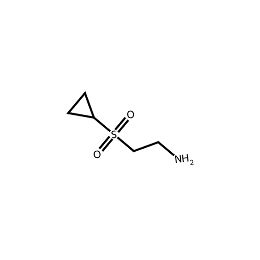 NCCS(=O)(=O)C1CC1